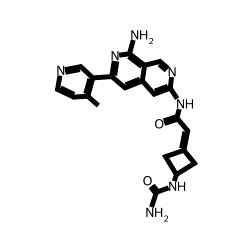 Cc1ccncc1-c1cc2cc(NC(=O)C=C3CC(NC(N)=O)C3)ncc2c(N)n1